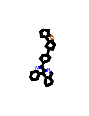 c1ccc2c(c1)cnc1c(-c3ccc(-c4ccc5sc6ccccc6c5c4)cc3)nc3ccccc3c12